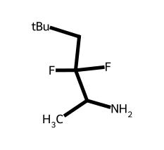 CC(N)C(F)(F)CC(C)(C)C